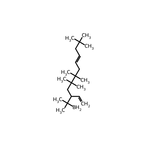 BC(C)(C)C(C=C)CC(C)(C)C(C)(C)C/C=C/CC(C)(C)C